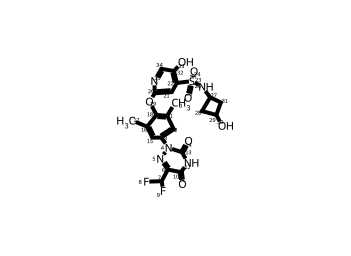 Cc1cc(-n2nc(C(F)F)c(=O)[nH]c2=O)cc(C)c1Oc1cc(S(=O)(=O)NC2CC(O)C2)c(O)cn1